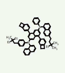 CCC(C)(C)CCc1ccc2c(N(c3ccccc3)c3cc(-c4ccc5c(c4)CC5)c4cc(N(c5ccc(CC(C)(CC)CC)cc5)c5cccc6ccccc56)cc(-c5ccc6c(c5)CC6)c4c3)cccc2c1